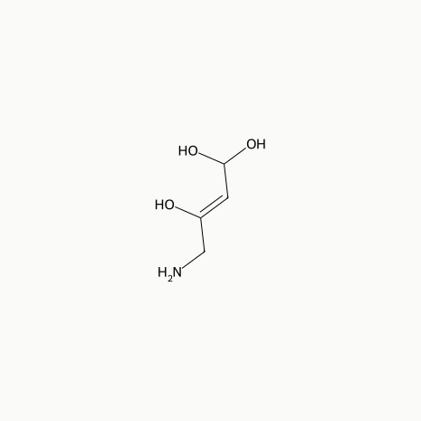 NCC(O)=CC(O)O